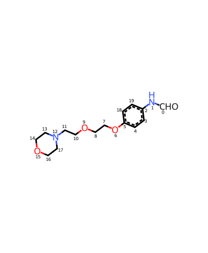 O=CNc1ccc(OCCOCCN2CCOCC2)cc1